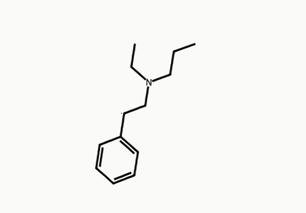 CCCN(CC)C[CH]c1ccccc1